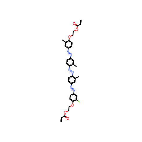 C=CC(=O)OCCOc1ccc(/N=N/c2ccc(/N=N/c3ccc(/N=N/c4ccc(OCCOC(=O)C=C)c(F)c4)cc3C)c(C)c2)cc1C